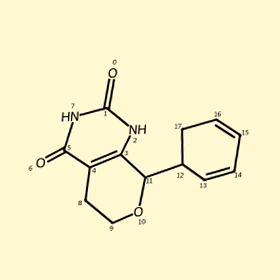 O=c1[nH]c2c(c(=O)[nH]1)CCOC2C1C=CC=CC1